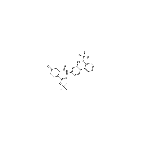 CC(C)(C)OC(=O)N1CCC(=O)C[C@@H]1C(=O)Nc1ccc(-c2ccccc2OC(F)(F)F)c(Cl)c1